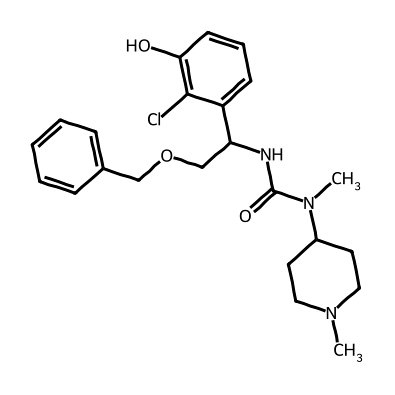 CN1CCC(N(C)C(=O)NC(COCc2ccccc2)c2cccc(O)c2Cl)CC1